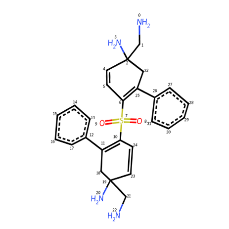 NCC1(N)C=CC(S(=O)(=O)C2=C(c3ccccc3)CC(N)(CN)C=C2)=C(c2ccccc2)C1